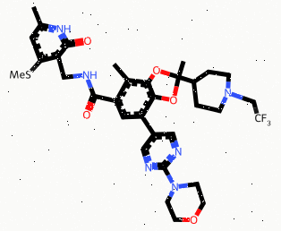 CSc1cc(C)[nH]c(=O)c1CNC(=O)c1cc(-c2cnc(N3CCOCC3)nc2)c2c(c1C)OC(C)(C1CCN(CC(F)(F)F)CC1)O2